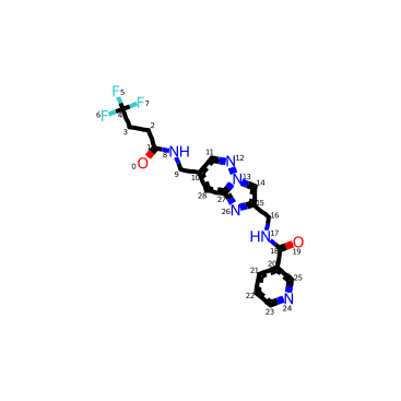 O=C(CCC(F)(F)F)NCc1cnn2cc(CNC(=O)c3cccnc3)nc2c1